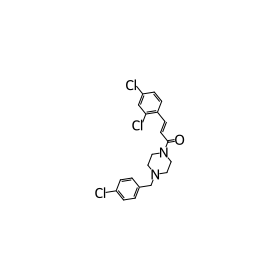 O=C(/C=C/c1ccc(Cl)cc1Cl)N1CCN(Cc2ccc(Cl)cc2)CC1